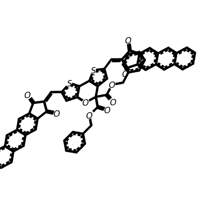 O=C1C(=Cc2cc3c(s2)-c2sc(C=C4C(=O)c5cc6cc7ccccc7cc6cc5C4=O)cc2C(C(=O)OCc2ccccc2)(C(=O)OCc2ccccc2)O3)C(=O)c2cc3cc4ccccc4cc3cc21